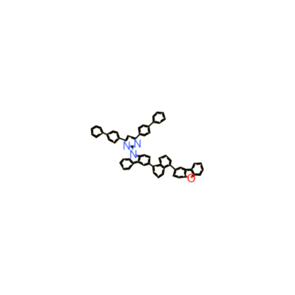 c1ccc(-c2ccc(-c3cc(-c4ccc(-c5ccccc5)cc4)nc(-n4c5ccccc5c5cc(-c6cccc7c(-c8ccc9oc%10ccccc%10c9c8)cccc67)ccc54)n3)cc2)cc1